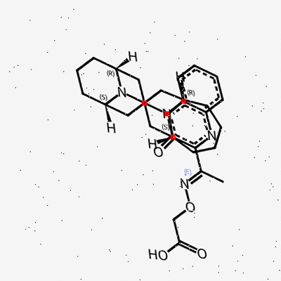 C/C(=N\OCC(=O)O)c1nc2ccccc2n(C2C[C@H]3CCC[C@@H](C2)N3C2C[C@H]3CCCC[C@@H](C2)C3)c1=O